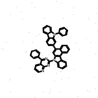 C1=CC(c2nc(-n3c4ccccc4c4c5ccccc5c(-c5ccc6c7ccccc7n(-c7ccccc7)c6c5)cc43)nc3ncccc23)=CCC1